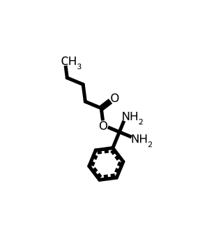 CCCCC(=O)OC(N)(N)c1ccccc1